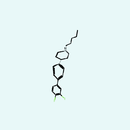 CCCCC[Si@H]1CC[C@H](c2ccc(-c3ccc(F)c(F)c3)cc2)CC1